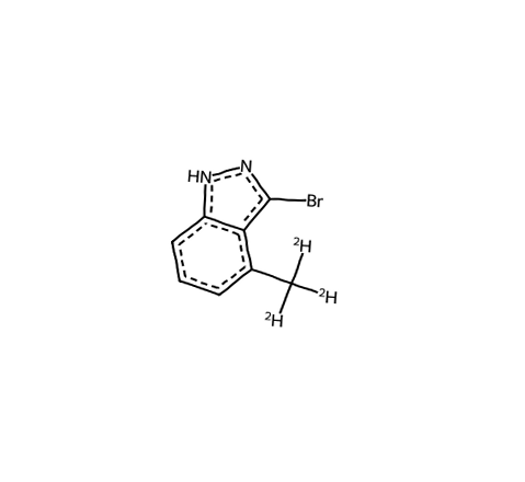 [2H]C([2H])([2H])c1cccc2[nH]nc(Br)c12